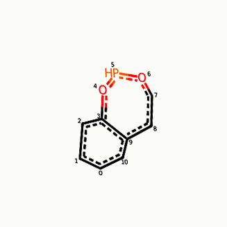 c1ccc2o[pH]occc2c1